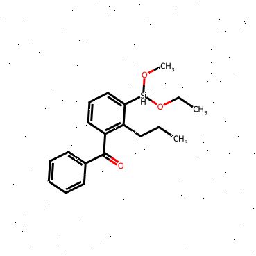 CCCc1c(C(=O)c2ccccc2)cccc1[SiH](OC)OCC